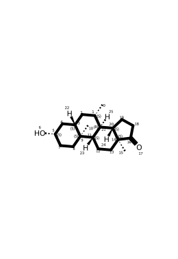 C[C@H]1C[C@H]2C[C@@H](O)CC[C@]2(C)[C@H]2CC[C@]3(C)C(=O)CC[C@H]3[C@H]12